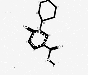 COC(=O)c1ccc(=O)n(C2CCCCC2)c1